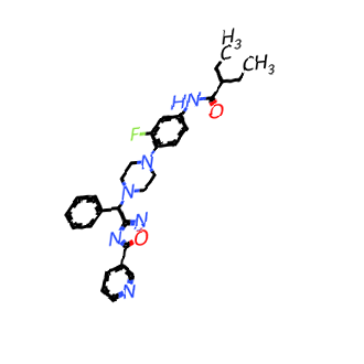 CCC(CC)C(=O)Nc1ccc(N2CCN(C(c3ccccc3)c3noc(-c4cccnc4)n3)CC2)c(F)c1